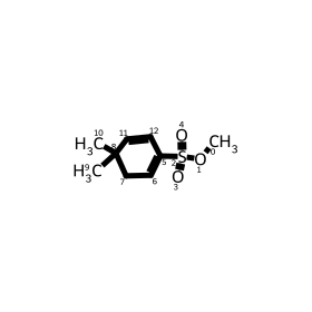 COS(=O)(=O)C1=CCC(C)(C)C=C1